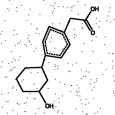 O=C(O)Cc1ccc(C2CCCC(O)C2)cc1